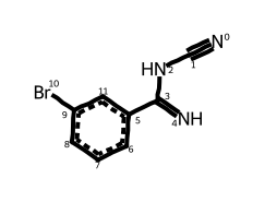 N#CNC(=N)c1cccc(Br)c1